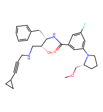 COC[C@H]1CCCN1c1cc(F)cc(C(=O)N[C@@H](Cc2ccccc2)[C@H](O)CNCC#CC2CC2)c1